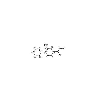 [CH]=CC(C)c1ccc(-c2ccccc2)c(F)c1